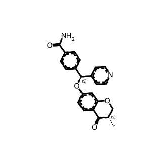 C[C@H]1COc2cc(O[C@H](c3ccncc3)c3ccc(C(N)=O)cc3)ccc2C1=O